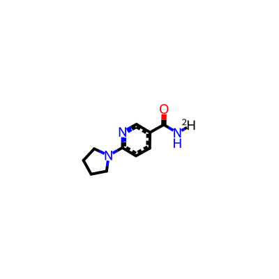 [2H]NC(=O)c1ccc(N2CCCC2)nc1